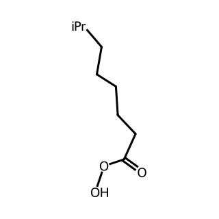 CC(C)CCCCCC(=O)OO